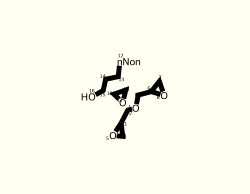 C(OCC1CO1)C1CO1.C1CO1.CCCCCCCCCCCCO